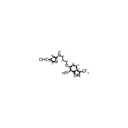 CCCc1c(OCCCN(C)c2ncc(C=O)s2)ccc2c(C(F)(F)F)noc12